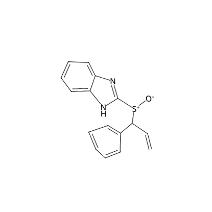 C=CC(c1ccccc1)[S+]([O-])c1nc2ccccc2[nH]1